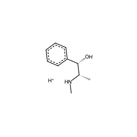 CN[C@@H](C)[C@@H](O)c1ccccc1.[H+]